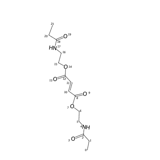 CCC(=O)NCCOC(=O)/C=C/C(=O)OCCNC(=O)CC